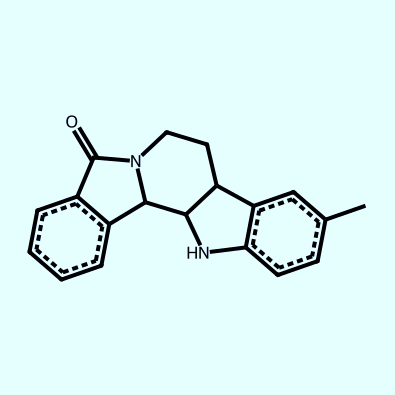 Cc1ccc2c(c1)C1CCN3C(=O)c4ccccc4C3C1N2